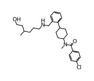 CC(CCO)CCCNCc1ccccc1C1CCC(N(C)C(=O)c2ccc(Cl)cc2)CC1